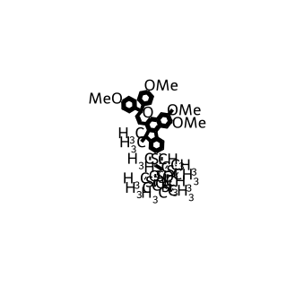 COc1ccc(C2(c3ccc(OC)cc3)C=Cc3c4c(c5cc(OC)c(OC)cc5c3O2)-c2ccc([Si](C)(C)CC[Si](O[Si](C)(C)C)(O[Si](C)(C)C)O[Si](C)(C)C)cc2C4(C)C)cc1